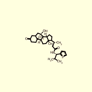 CC(C)[C@H](NC(=O)C[C@@H](C)C1CC[C@H]2C3[C@H](O)CC4CC(=O)CCC4(C)[C@H]3CCC12C)c1cccs1